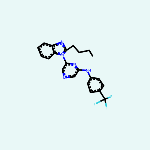 CCCCc1nc2ccccc2n1-c1cncc(Nc2ccc(C(F)(F)F)cc2)n1